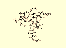 CCOc1cc(C#N)c(S(=O)(=O)N(C)C)cc1C1=N[C@@H](c2ccc(Cl)cc2)[C@@H](c2ccc(Cl)cc2)N1C(=O)N1CCN(CC(=O)N2CCOCC2)CC1.Cl